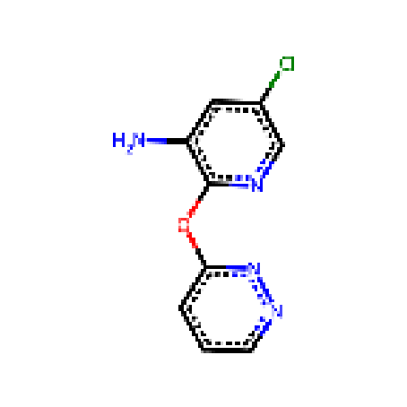 Nc1cc(Cl)cnc1Oc1cccnn1